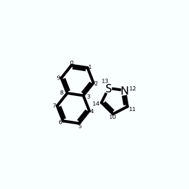 c1ccc2ccccc2c1.c1cnsc1